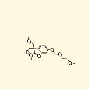 COCCOCOc1ccc(C(COC)(COC)C(=O)OC)cc1